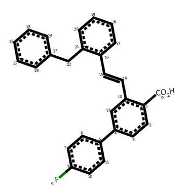 O=C(O)c1ccc(-c2ccc(F)cc2)cc1C=Cc1ccccc1Cc1ccccc1